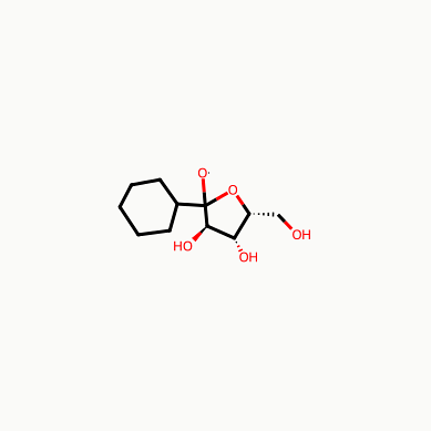 [O]C1(C2CCCCC2)O[C@H](CO)[C@H](O)[C@H]1O